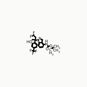 CC(C)(C)OC(=O)Nc1cccc2c1cnn2C(CO)(CC(F)F)c1ccc(C(F)(F)F)cc1